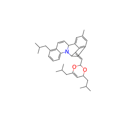 Cc1cc2c3c(c1)C1C=Cc4c(CC(C)C)cccc4N1C(C2)/C3=C\C1OC(CC(C)C)=CC(CC(C)C)O1